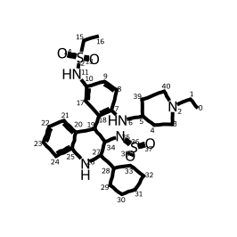 CCN1CCC(Nc2ccc(NS(=O)(=O)CC)cc2C2c3ccccc3NC(C3CCCCC3)C2N=S(=O)=O)CC1